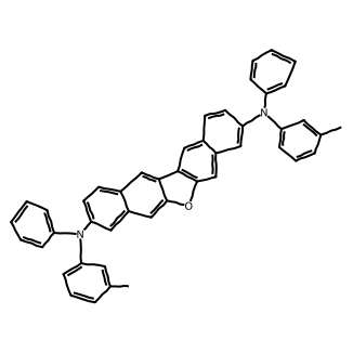 Cc1cccc(N(c2ccccc2)c2ccc3cc4c(cc3c2)oc2cc3cc(N(c5ccccc5)c5cccc(C)c5)ccc3cc24)c1